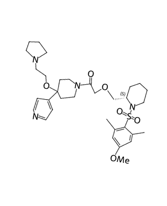 COc1cc(C)c(S(=O)(=O)N2CCCC[C@H]2COCC(=O)N2CCC(OCCN3CCCC3)(c3ccncc3)CC2)c(C)c1